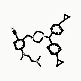 CN(C)CCN(C)c1ccc(C#N)c(CN2CCN(C(c3ccc(C4CC4)cc3)c3ccc(C4CC4)cc3)CC2)c1